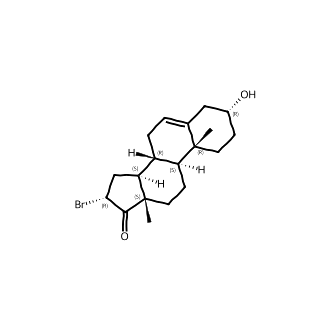 C[C@]12CC[C@@H](O)CC1=CC[C@@H]1[C@@H]2CC[C@]2(C)C(=O)[C@H](Br)C[C@@H]12